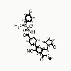 CC(C)OC(=O)c1cc(C#N)c(N2CCC(C(=O)NS(=O)(=O)N(C)c3ccc(F)cc3)CC2)nc1CN1CCCC1=O